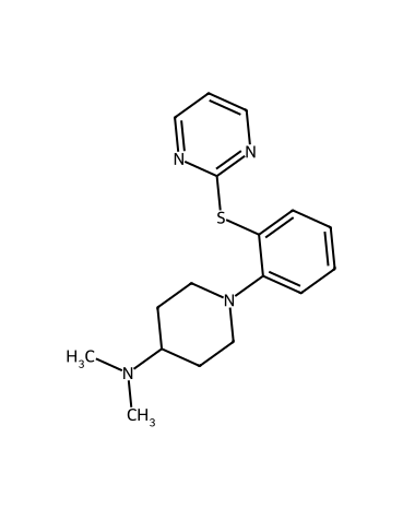 CN(C)C1CCN(c2ccccc2Sc2ncccn2)CC1